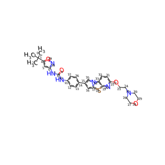 CC(C)(C)c1cc(NC(=O)Nc2ccc(-c3cc4sc5nc(OCCN6CCOCC6)ccc5n4c3)cc2)no1